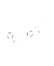 NC[C@H]1CN(c2cc(F)c(N3CCON(C(=O)c4ccccc4)CC3)c(F)c2)C(=O)O1